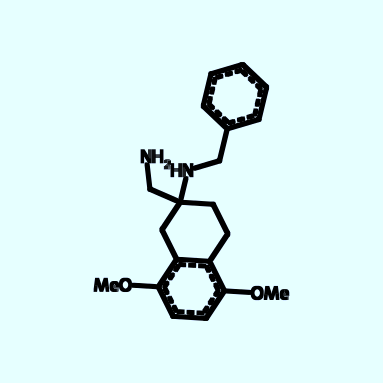 COc1ccc(OC)c2c1CCC(CN)(NCc1ccccc1)C2